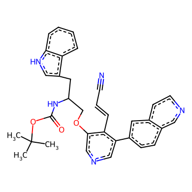 CC(C)(C)OC(=O)NC(COc1cncc(-c2ccc3cnccc3c2)c1C=CC#N)Cc1c[nH]c2ccccc12